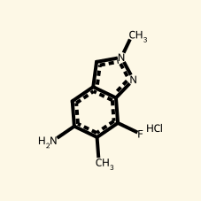 Cc1c(N)cc2cn(C)nc2c1F.Cl